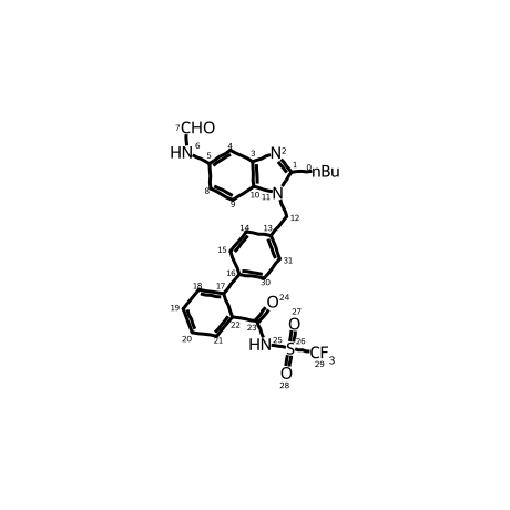 CCCCc1nc2cc(NC=O)ccc2n1Cc1ccc(-c2ccccc2C(=O)NS(=O)(=O)C(F)(F)F)cc1